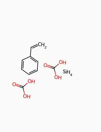 C=Cc1ccccc1.O=C(O)O.O=C(O)O.[SiH4]